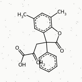 C=C(CC1(c2ccccc2)C(=O)Oc2c(C)cc(C)cc21)C(=O)O